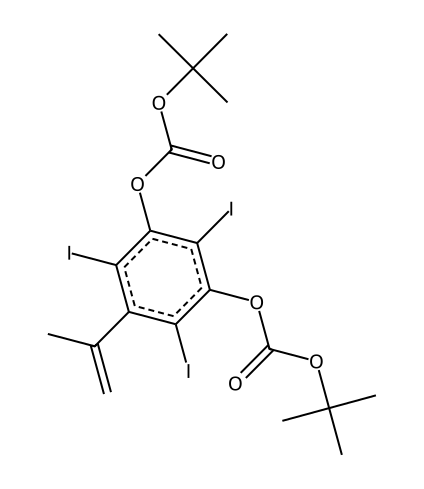 C=C(C)c1c(I)c(OC(=O)OC(C)(C)C)c(I)c(OC(=O)OC(C)(C)C)c1I